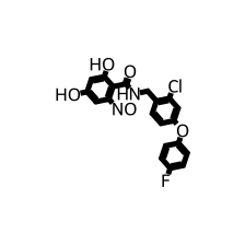 O=Nc1cc(O)cc(O)c1C(=O)NCc1ccc(Oc2ccc(F)cc2)cc1Cl